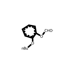 CCCCOc1ccccc1O[C]=O